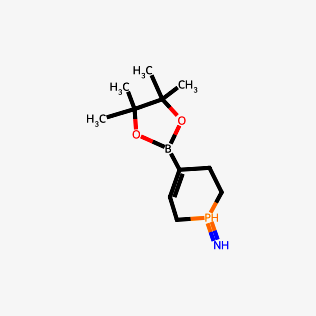 CC1(C)OB(C2=CC[PH](=N)CC2)OC1(C)C